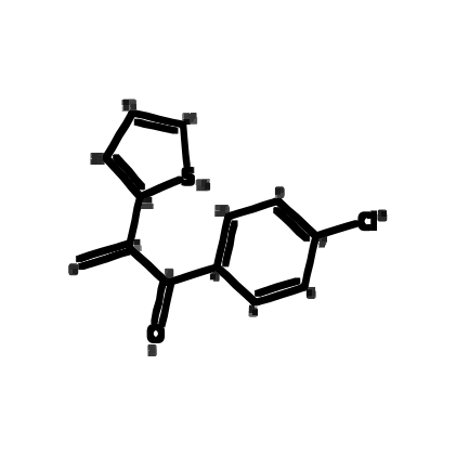 C=C(C(=O)c1ccc(Cl)cc1)c1cccs1